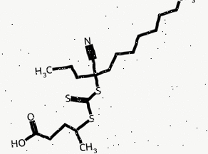 CCCCCCCCC(C#N)(CCC)SC(=S)SC(C)CCC(=O)O